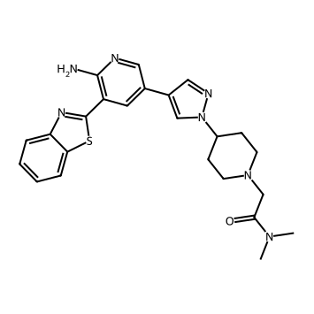 CN(C)C(=O)CN1CCC(n2cc(-c3cnc(N)c(-c4nc5ccccc5s4)c3)cn2)CC1